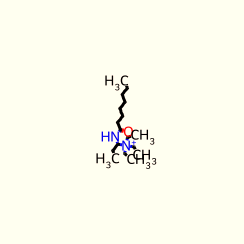 CCCCCCCC(=O)NC(CC)[N+](CC)(CC)CC